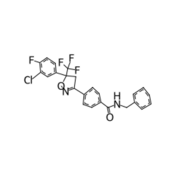 O=C(NCc1ccccc1)c1ccc(C2=NOC(c3ccc(F)c(Cl)c3)(C(F)(F)F)C2)cc1